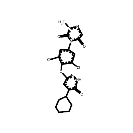 Cn1ncc(=O)n(-c2cc(Cl)c(Oc3cc(C4CCCCC4)c(=O)[nH]n3)c(Cl)c2)c1=O